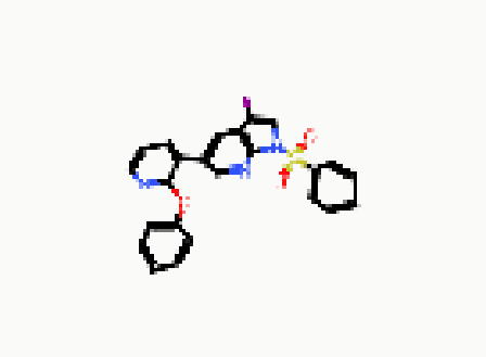 O=S(=O)(c1ccccc1)n1cc(I)c2cc(-c3cccnc3Oc3ccccc3)cnc21